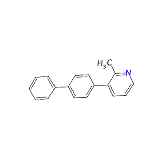 Cc1ncccc1-c1ccc(-c2ccccc2)cc1